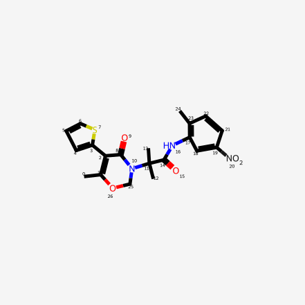 CC1=C(c2cccs2)C(=O)N(C(C)(C)C(=O)Nc2cc([N+](=O)[O-])ccc2C)CO1